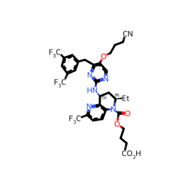 CC[C@@H]1C[C@H](Nc2ncc(OCCCC#N)c(Cc3cc(C(F)(F)F)cc(C(F)(F)F)c3)n2)c2nc(C(F)(F)F)ccc2N1C(=O)OCCCC(=O)O